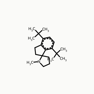 CN1CCCC12CCc1c(C(C)(C)C)ccc(C(C)(C)C)c12